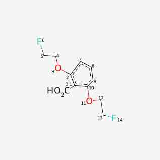 O=C(O)c1c(OCCF)cccc1OCCF